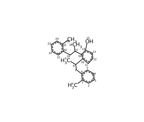 Cc1ccccc1CC(C)c1cccc(O)c1C(C)Cc1ccccc1C